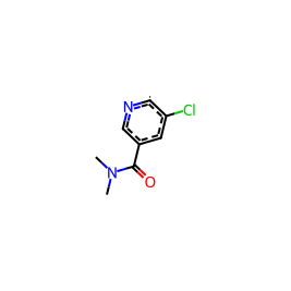 CN(C)C(=O)c1cn[c]c(Cl)c1